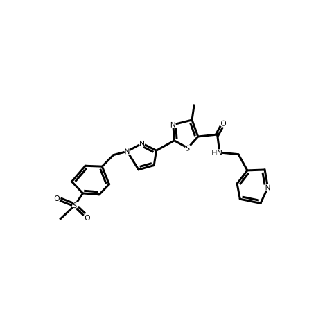 Cc1nc(-c2ccn(Cc3ccc(S(C)(=O)=O)cc3)n2)sc1C(=O)NCc1cccnc1